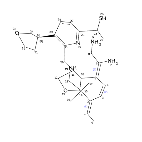 C\C=C(/C=C\C(=C(/N)CN)C1CCOC1)C(C)(C)CNCc1nc(C(C)S)ccc1[C@H]1CCOC1